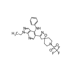 CCn1ncc2c(Nc3ccccc3)c(C3=NOC4(CCN(S(=O)(=O)C(F)(F)F)CC4)C3)cnc21